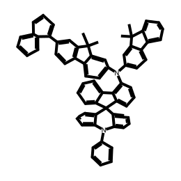 CC1(C)c2ccccc2-c2ccc(N(c3ccc4c(c3)C(C)(C)c3cc(-c5cccc6ccccc56)ccc3-4)c3cccc4c3-c3ccccc3C43c4ccccc4N(c4ccccc4)c4ccccc43)cc21